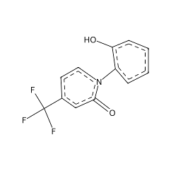 O=c1cc(C(F)(F)F)ccn1-c1ccccc1O